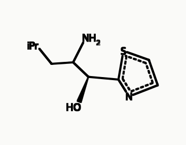 CC(C)CC(N)[C@H](O)c1nccs1